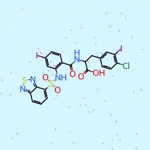 O=C(NC(Cc1ccc(Cl)c(I)c1)C(=O)O)c1ccc(I)cc1NS(=O)(=O)c1cccc2nsnc12